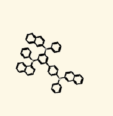 c1ccc(N(c2ccc(-c3cc(N(c4ccccc4)c4ccc5ccccc5c4)cc(N(c4ccccc4)c4cccc5ccccc45)c3)cc2)c2ccc3ccccc3c2)cc1